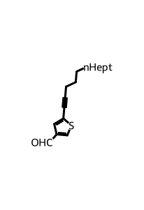 CCCCCCCCCCC#Cc1cc(C=O)cs1